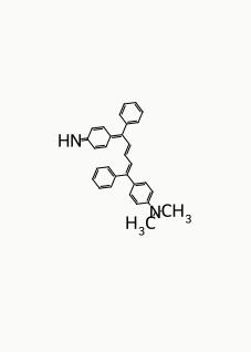 CN(C)c1ccc(C(=CC=CC(=C2C=CC(=N)C=C2)c2ccccc2)c2ccccc2)cc1